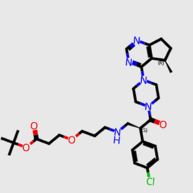 C[C@@H]1CCc2ncnc(N3CCN(C(=O)[C@H](CNCCCOCCC(=O)OC(C)(C)C)c4ccc(Cl)cc4)CC3)c21